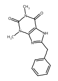 Cn1c(=O)c2[nH]c(Cc3ccccc3)nc2n(C)c1=O